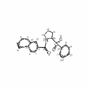 O=C(c1[c]cc2ccccc2c1)N1CCCC1S(=O)(=O)c1ccccc1